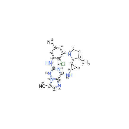 CC1CCN(c2cc(C#N)cc(Nc3nc(NC4CC4)c4ncc(C#N)n4n3)c2Cl)C1